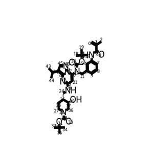 C=C(C)C(=O)Nc1cccc(CN(C(=O)OC(C)(C)C)c2cc(NC[C@H]3CCN(C(=O)OC(C)(C)C)C[C@@H]3O)nc3c(C(C)C)cnn23)c1